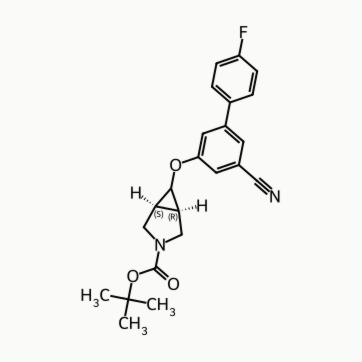 CC(C)(C)OC(=O)N1C[C@@H]2C(Oc3cc(C#N)cc(-c4ccc(F)cc4)c3)[C@@H]2C1